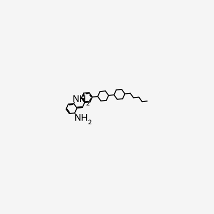 CCCCCC1CCC(C2CCC(c3cccc(C=C4C(N)=CC=CC4N)c3)CC2)CC1